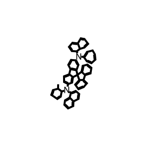 CC1C=CC=CC1N(c1ccc2c(c1)C1(c3ccccc3-c3ccccc31)c1cc(N(C3=CCC=CC=C3)C3C=CC=C4C=CC=CC43)ccc1-2)c1cccc2ccccc12